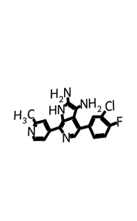 Cc1cc(-c2ncc(-c3ccc(F)c(Cl)c3)c3c(N)c(N)[nH]c23)ccn1